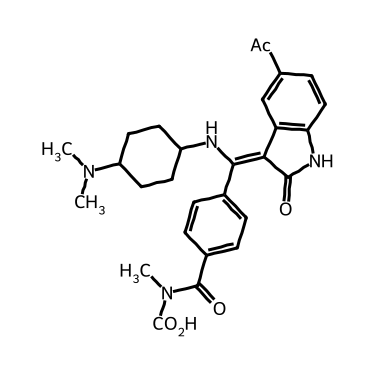 CC(=O)c1ccc2c(c1)/C(=C(\NC1CCC(N(C)C)CC1)c1ccc(C(=O)N(C)C(=O)O)cc1)C(=O)N2